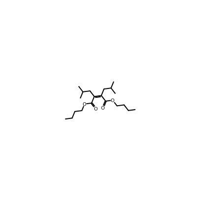 CCCCOC(=O)/C(CC(C)C)=C(/CC(C)C)C(=O)OCCCC